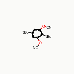 CC(C)(C)c1cc(OC#N)c(C(C)(C)C)c(OC#N)c1